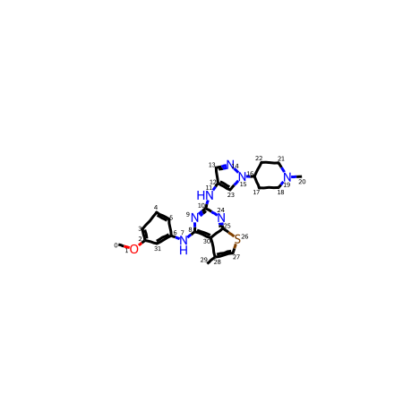 COc1cccc(Nc2nc(Nc3cnn(C4CCN(C)CC4)c3)nc3scc(C)c23)c1